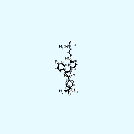 CN(C)CCCNc1nccc(-c2[nH]c(C3OCC(C)(C(N)=O)CO3)nc2-c2ccc(F)cc2)n1